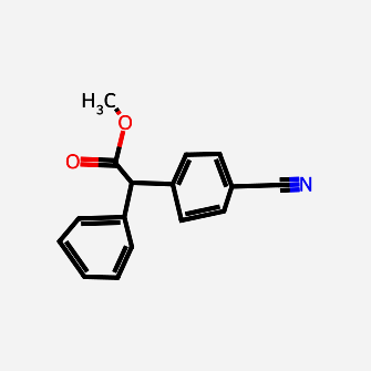 COC(=O)C(c1ccccc1)c1ccc(C#N)cc1